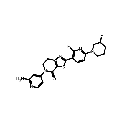 Nc1cc(N2CCc3nc(-c4ccc(N5CCCC(F)C5)nc4F)sc3C2=O)ccn1